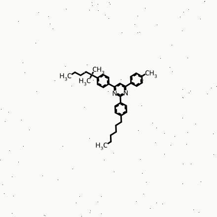 CCCCCCc1ccc(-c2nc(-c3ccc(C)cc3)cc(-c3ccc(C(C)(C)CCCC)cc3)n2)cc1